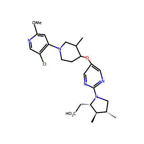 COc1cc(N2CCC(Oc3cnc(N4C[C@H](C)[C@@H](C)[C@@H]4CC(=O)O)nc3)C(C)C2)c(Cl)cn1